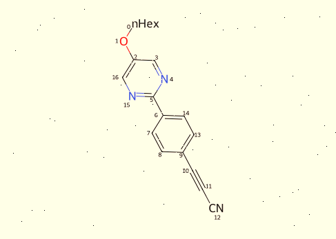 CCCCCCOc1cnc(-c2ccc(C#CC#N)cc2)nc1